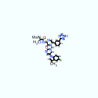 CN[C@@H](C)C(=O)Nc1ncc(-c2cccc(-c3nn[nH]n3)c2)n(CN2C=NC=C(n3cc(C)c4cc(F)ccc43)C2)c1=O